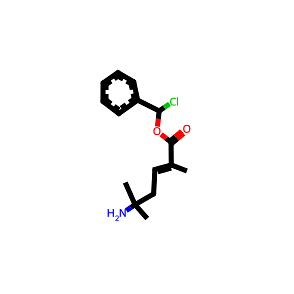 CC(=CCC(C)(C)N)C(=O)OC(Cl)c1ccccc1